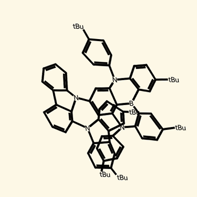 CC(C)(C)c1ccc(N2c3ccc(C(C)(C)C)cc3B3c4cc(C(C)(C)C)ccc4N(c4ccc(C(C)(C)C)cc4)c4cc(-n5c6ccccc6c6cccc(-n7c8ccc(C(C)(C)C)cc8c8cc(C(C)(C)C)ccc87)c65)cc2c43)cc1